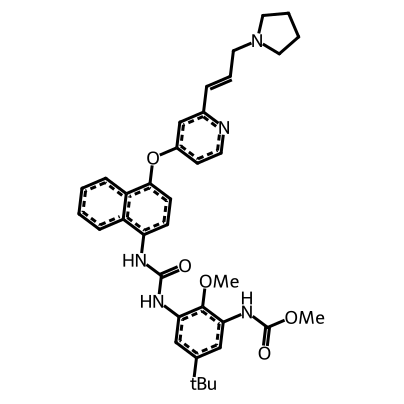 COC(=O)Nc1cc(C(C)(C)C)cc(NC(=O)Nc2ccc(Oc3ccnc(C=CCN4CCCC4)c3)c3ccccc23)c1OC